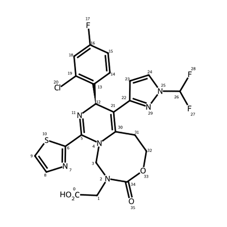 O=C(O)CN1CN2C(c3nccs3)=N[C@@H](c3ccc(F)cc3Cl)C(c3ccn(C(F)F)n3)=C2CCOC1=O